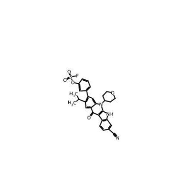 CC(C)c1cc2c(=O)c3c4ccc(C#N)cc4[nH]c3n(C3CCOCC3)c2cc1-c1cccc(OS(=O)(=O)F)c1